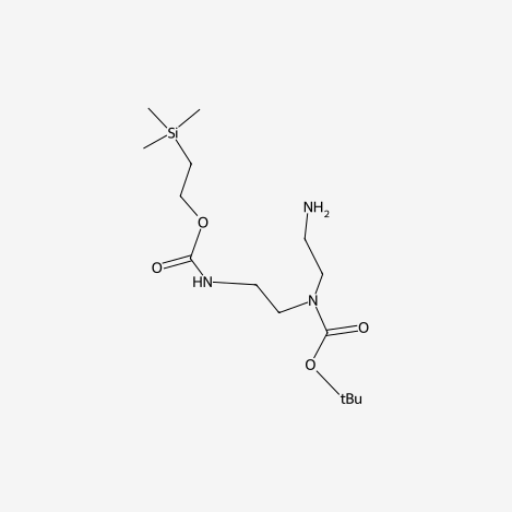 CC(C)(C)OC(=O)N(CCN)CCNC(=O)OCC[Si](C)(C)C